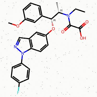 CCN(C(=O)C(=O)O)[C@@H](C)[C@H](Oc1ccc2c(cnn2-c2ccc(F)cc2)c1)c1cccc(OC)c1